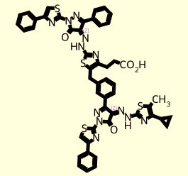 Cc1sc(N/N=C2\C(=O)N(c3nc(-c4ccccc4)cs3)N=C2c2cccc(Cc3sc(N/N=C4\C(=O)N(c5nc(-c6ccccc6)cs5)N=C4c4ccccc4)nc3CCC(=O)O)c2)nc1C1CC1